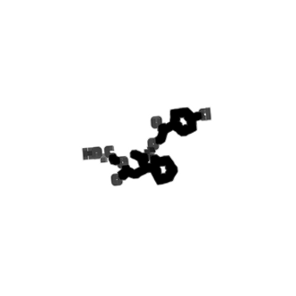 Cc1c(CC(=O)OCC(=O)O)c2ccccc2n1OCC(=O)c1ccc(Cl)cc1